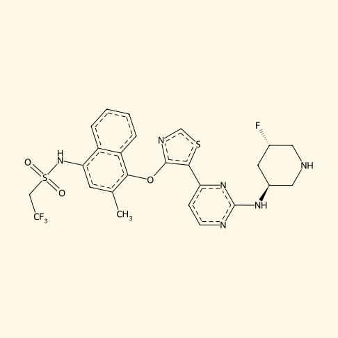 Cc1cc(NS(=O)(=O)CC(F)(F)F)c2ccccc2c1Oc1ncsc1-c1ccnc(N[C@@H]2CNC[C@@H](F)C2)n1